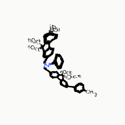 CCCCCCCCC1(CCCCCCCC)c2cc(CN(Cc3ccc4c(c3)C(CCCCCCCC)(CCCCCCCC)c3cc(C(C)CC)ccc3-4)c3ccccc3)ccc2-c2ccc(-c3ccc(C)cc3)cc21